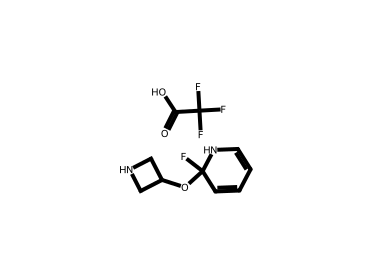 FC1(OC2CNC2)C=CC=CN1.O=C(O)C(F)(F)F